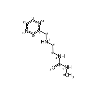 CNC(=O)NCCNCc1cnccn1